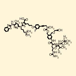 C#CCOCc1cc(NC(=O)[C@H](CCCNC(N)=O)NC(=O)[C@@H](NC(=O)OC(C)(C)C)C(C)C)ccc1COC(=O)N(C)CC#Cc1ccc(OCCCc2sc(N(CCCN(C)C)c3cc(C)c(Nc4nc5ccccc5s4)nn3)nc2C(=O)O)c(F)c1